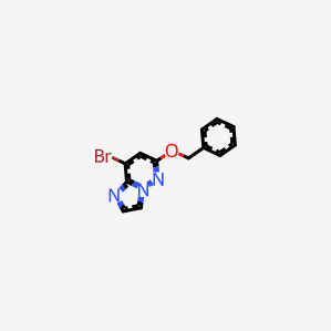 Brc1cc(OCc2ccccc2)nn2ccnc12